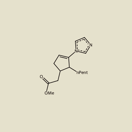 CCCCCC1C(n2ccnc2)=CCC1CC(=O)OC